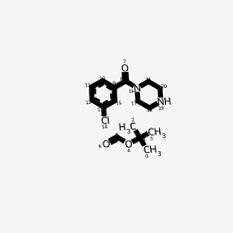 CC(C)(C)OC=O.O=C(c1cccc(Cl)c1)N1CCNCC1